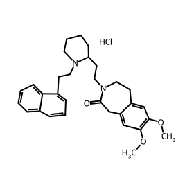 COc1cc2c(cc1OC)CC(=O)N(CCC1CCCCN1CCc1cccc3ccccc13)CC2.Cl